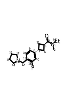 CCN(C)C(=O)[C@H]1C[C@H](c2ccc(CN3CCCC3)c(F)c2)C1